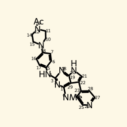 CNc1nc(Nc2ccc(N3CCN(C(C)=O)CC3)cc2)nc2[nH]cc(-c3ccncc3)c12